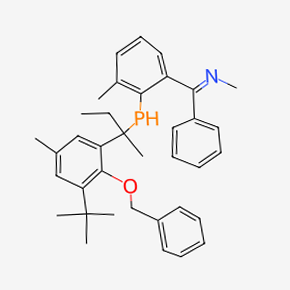 CCC(C)(Pc1c(C)cccc1/C(=N/C)c1ccccc1)c1cc(C)cc(C(C)(C)C)c1OCc1ccccc1